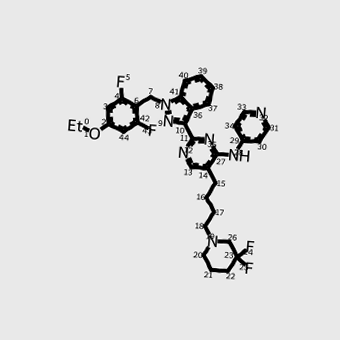 CCOc1cc(F)c(Cn2nc(-c3ncc(CCCCN4CCCC(F)(F)C4)c(Nc4ccncc4)n3)c3ccccc32)c(F)c1